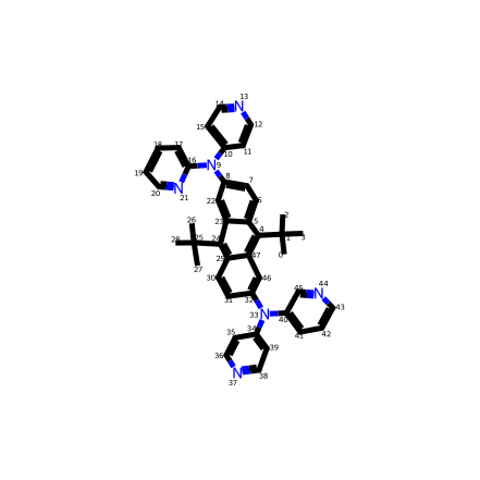 CC(C)(C)c1c2ccc(N(c3ccncc3)c3ccccn3)cc2c(C(C)(C)C)c2ccc(N(c3ccncc3)c3cccnc3)cc12